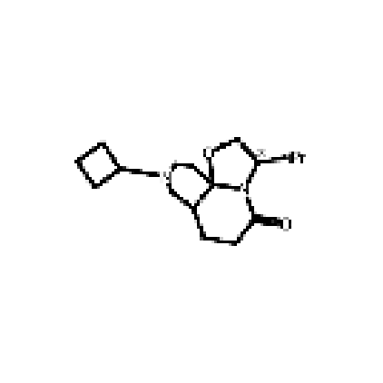 CC(C)[C@@H]1COC23CCN(C4CCC4)CC2CCC(=O)N13